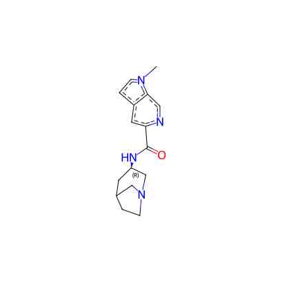 Cn1ccc2cc(C(=O)N[C@@H]3CC4CCN(C4)C3)ncc21